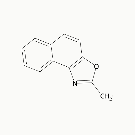 [CH2]c1nc2c(ccc3ccccc32)o1